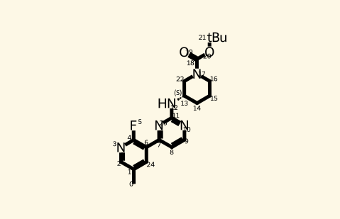 Cc1cnc(F)c(-c2ccnc(N[C@H]3CCCN(C(=O)OC(C)(C)C)C3)n2)c1